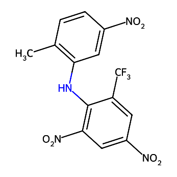 Cc1ccc([N+](=O)[O-])cc1Nc1c([N+](=O)[O-])cc([N+](=O)[O-])cc1C(F)(F)F